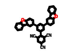 N#Cc1cc(C#N)c(-c2cc(-c3ccc4oc5ccccc5c4c3)cc(-c3ccc4oc5ccccc5c4c3)c2)c(C#N)c1